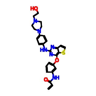 C=CC(=O)Nc1cccc(Oc2nc(Nc3ccc(N4CCN(CCO)CC4)cc3)nc3ccsc23)c1